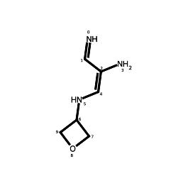 N=C/C(N)=C\NC1COC1